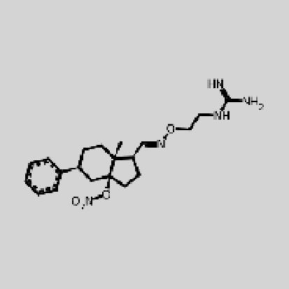 C[C@]12CC[C@H](c3ccccc3)C[C@@]1(O[N+](=O)[O-])CC[C@@H]2C=NOCCNC(=N)N